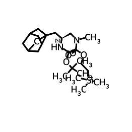 CN(C[C@H](CC12CC3CC(CC1C3)C2)NC(=O)OC(C)(C)C)C(=O)OCC[Si](C)(C)C